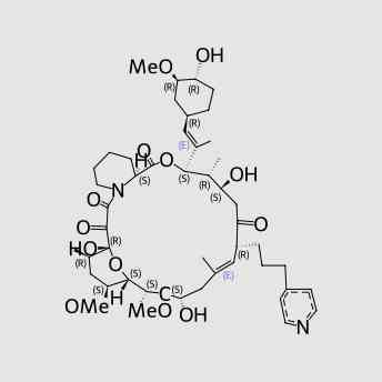 CO[C@H]1C[C@@H](O)C/C(C)=C/[C@@H](CCCc2ccncc2)C(=O)C[C@H](O)[C@@H](C)[C@@H](/C(C)=C/[C@@H]2CC[C@@H](O)[C@H](OC)C2)OC(=O)[C@@H]2CCCCN2C(=O)C(=O)[C@]2(O)O[C@H]1[C@@H](OC)C[C@H]2C